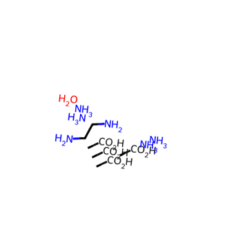 CC(=O)O.CC(=O)O.CC(=O)O.CC(=O)O.N.N.N.N.NCCN.O